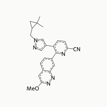 COc1cc2ccc(-c3nc(C#N)ccc3-c3cnn(CC4CC4(C)C)c3)cc2nn1